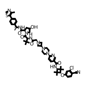 Cc1ncsc1-c1ccc([C@H](C)NC(=O)C2C[C@@H](O)CN2C(=O)[C@@H](NC(=O)CN2CC(N3CCN(c4ccc(C(=O)N[C@H]5C(C)(C)[C@H](Oc6ccc(C#N)c(Cl)c6)C5(C)C)cn4)CC3)C2)C(C)(C)C)cc1